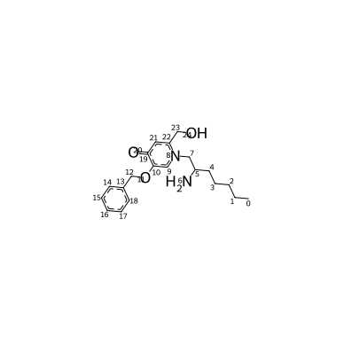 CCCCCC(N)Cn1cc(OCc2ccccc2)c(=O)cc1CO